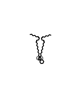 CCCCC/C=C\C/C=C\CCCCCCCCC1(CCCCCCCC/C=C\C/C=C\CCCCC)OCC2(CCCCC2)O1